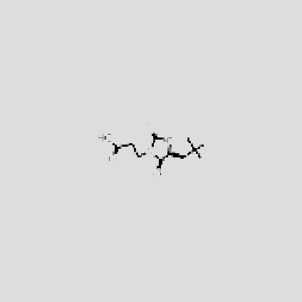 CC(C)(C)/C=C1\OC(=O)N(CCC(=O)O)C1=O